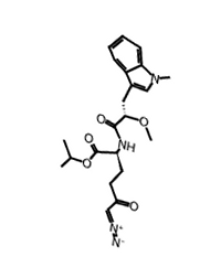 CO[C@@H](Cc1cn(C)c2ccccc12)C(=O)N[C@@H](CCC(=O)C=[N+]=[N-])C(=O)OC(C)C